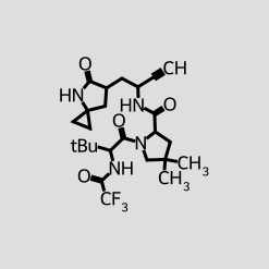 C#CC(CC1CC2(CC2)NC1=O)NC(=O)C1CC(C)(C)CN1C(=O)C(NC(=O)C(F)(F)F)C(C)(C)C